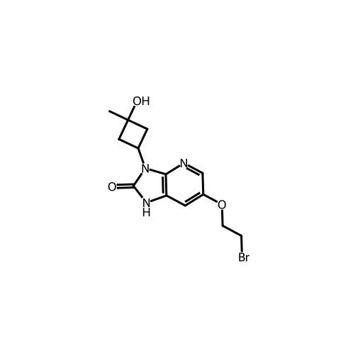 CC1(O)CC(n2c(=O)[nH]c3cc(OCCBr)cnc32)C1